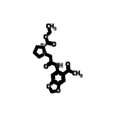 CCOC(=O)[C@H]1CCCN1CC(=O)Nc1cc2c(cc1C(C)=O)OCO2